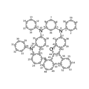 c1ccc(N(c2cccc(N(c3ccccc3)c3ccc4c5ccccc5n(-c5ccccc5)c4c3)c2)c2ccc3c(c2)oc2c4ccccc4c4ccccc4c32)cc1